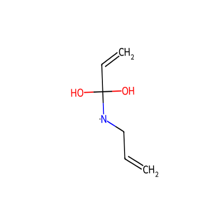 C=CC[N]C(O)(O)C=C